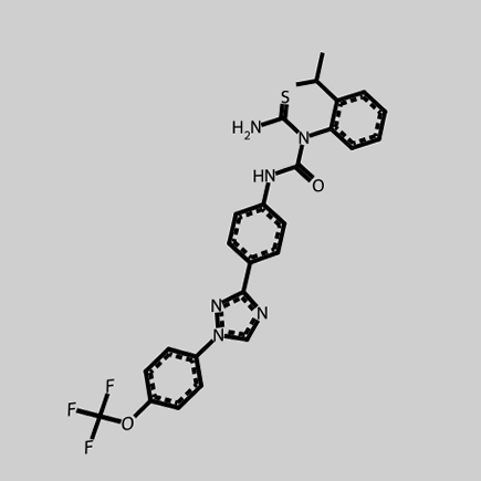 CC(C)c1ccccc1N(C(=O)Nc1ccc(-c2ncn(-c3ccc(OC(F)(F)F)cc3)n2)cc1)C(N)=S